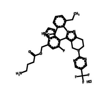 CCc1cccc(CC)c1-n1nc2c(c1-c1c(F)cc(COC(=O)CCCN)c3[nH]ccc13)CN(c1ncc(C(F)(F)F)cn1)CC2.Cl